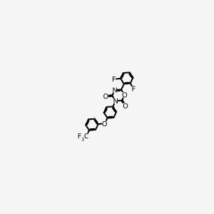 O=c1nc(-c2c(F)cccc2F)oc(=O)n1-c1ccc(Oc2cccc(C(F)(F)F)c2)cc1